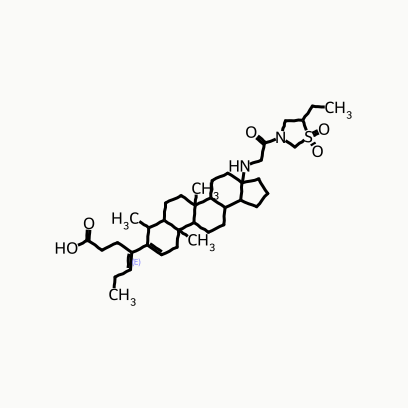 CC/C=C(\CCC(=O)O)C1=CCC2(C)C(CCC3(C)C4CCC5(NCC(=O)N6CC(CC)S(=O)(=O)C6)CCCC5C4CCC23)C1C